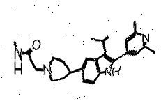 CNC(=O)CN1CCC(c2ccc3[nH]c(-c4cc(C)nc(C)c4)c(C(C)C)c3c2)CC1